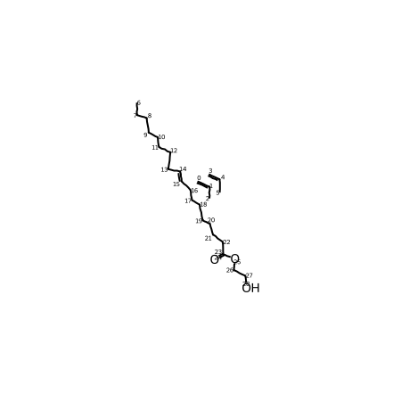 C=CC.C=CC.CCCCCCCC/C=C/CCCCCCCC(=O)OCCO